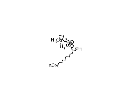 CCCCCCCCCCCCCCCCCCC(CO)COP(=O)([O-])OCC[N+](C)(C)C